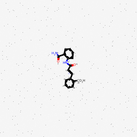 NC(=O)c1ccccc1NC(=O)/C=C/c1ccccc1C(=O)O